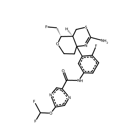 NC1=NC2(c3cc(NC(=O)c4cnc(OC(F)F)cn4)ccc3F)CCO[C@H](CF)[C@H]2CS1